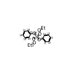 CCOO[Si](OOCC)(Oc1ccccc1)Oc1ccccc1